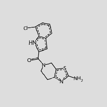 Nc1nc2c(s1)CN(C(=O)c1cc3cccc(Cl)c3[nH]1)CC2